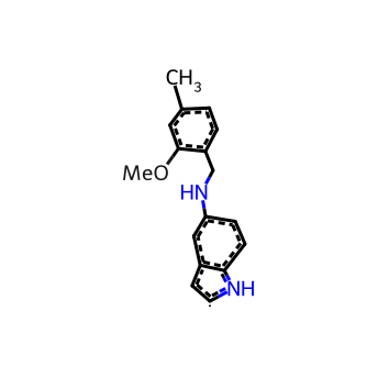 COc1cc(C)ccc1CNc1ccc2[nH][c]cc2c1